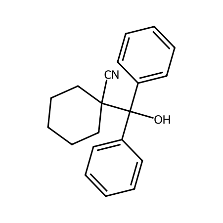 N#CC1(C(O)(c2ccccc2)c2ccccc2)CCCCC1